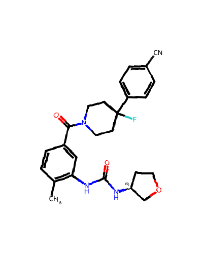 Cc1ccc(C(=O)N2CCC(F)(c3ccc(C#N)cc3)CC2)cc1NC(=O)N[C@H]1CCOC1